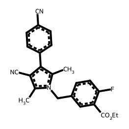 CCOC(=O)c1cc(Cn2c(C)c(C#N)c(-c3ccc(C#N)cc3)c2C)ccc1F